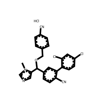 Cl.Cn1cncc1C(OCc1ccc(C#N)cc1)c1ccc(C#N)c(-c2ccc(Cl)cc2Cl)c1